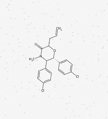 C=CCC1O[C@H](c2ccc(Cl)cc2)C(c2ccc(Cl)cc2)N(C)C1=O